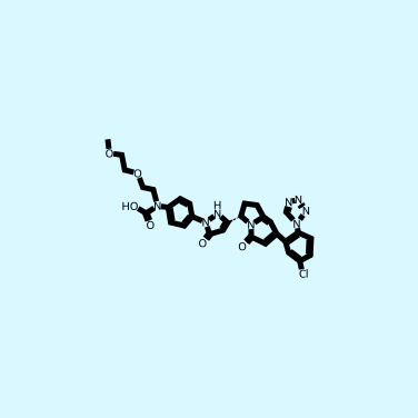 COCCOCCN(C(=O)O)c1ccc(-n2[nH]c([C@@H]3CCc4cc(-c5cc(Cl)ccc5-n5cnnn5)cc(=O)n43)cc2=O)cc1